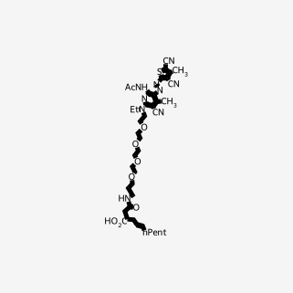 CCCCC/C=C/CC(CC(=O)NCCCOCCOCCOCCOCCN(CC)c1nc(NC(C)=O)c(/N=N/c2sc(C#N)c(C)c2C#N)c(C)c1C#N)C(=O)O